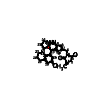 CN1CC(=O)N(Cc2cc3nccc(-c4cc(Cl)cc5c4N(C4CCNC4)CCC5)c3s2)C1=O